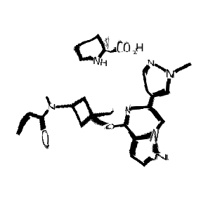 C=CC(=O)N(C)C1CC(C)(Oc2nc(-c3cnn(C)c3)cn3nccc23)C1.O=C(O)[C@@H]1CCCN1